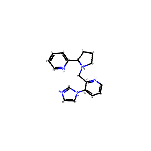 c1ccc(C2CCCN2Cc2ncccc2-n2ccnc2)nc1